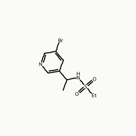 CCS(=O)(=O)NC(C)c1cncc(Br)c1